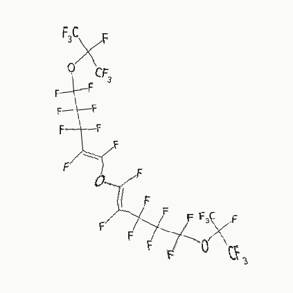 FC(OC(F)=C(F)C(F)(F)C(F)(F)C(F)(F)OC(F)(C(F)(F)F)C(F)(F)F)=C(F)C(F)(F)C(F)(F)C(F)(F)OC(F)(C(F)(F)F)C(F)(F)F